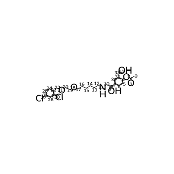 CC(=O)Oc1ccc([C@@H](O)CNCCCCCCOCCOCc2ccc(Cl)cc2Cl)cc1CO